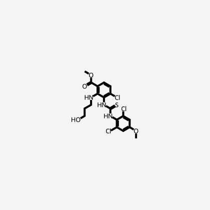 COC(=O)c1ccc(Cl)c(NC(=S)Nc2c(Cl)cc(OC)cc2Cl)c1NCCCO